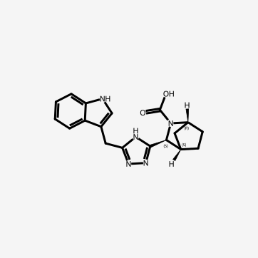 O=C(O)N1[C@@H]2CC[C@@H](C2)[C@H]1c1nnc(Cc2c[nH]c3ccccc23)[nH]1